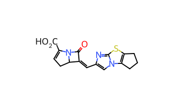 O=C(O)C1=CCC2C(=Cc3cn4c5c(sc4n3)CCC5)C(=O)N12